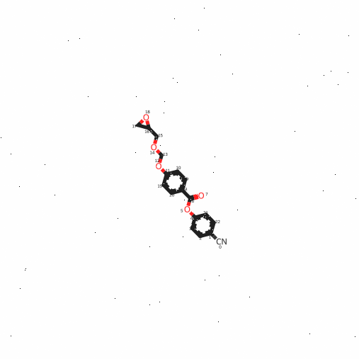 N#Cc1ccc(OC(=O)c2ccc(OCOCC3CO3)cc2)cc1